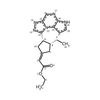 CCOC(=O)/C=C1\C[C@@H](CC)[C@@H](c2nnc3cnc4[nH]ccc4n23)C1